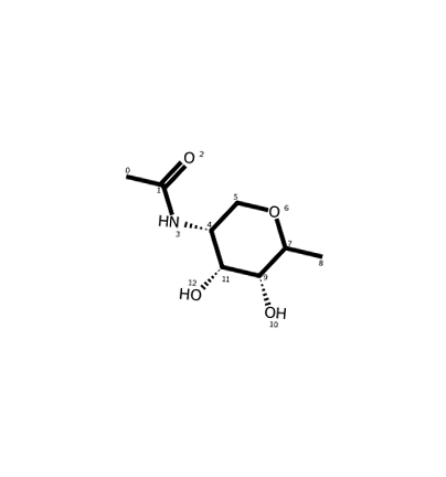 CC(=O)N[C@@H]1COC(C)[C@H](O)[C@@H]1O